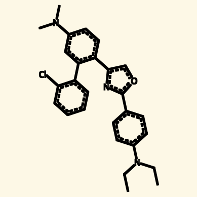 CCN(CC)c1ccc(-c2nc(-c3ccc(N(C)C)cc3-c3ccccc3Cl)co2)cc1